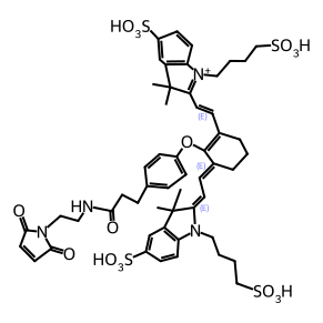 CC1(C)C(/C=C/C2=C(Oc3ccc(CCC(=O)NCCN4C(=O)C=CC4=O)cc3)C(=C/C=C3/N(CCCCS(=O)(=O)O)c4ccc(S(=O)(=O)O)cc4C3(C)C)/CCC2)=[N+](CCCCS(=O)(=O)O)c2ccc(S(=O)(=O)O)cc21